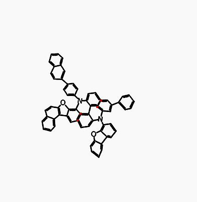 c1ccc(-c2cccc(N(c3ccccc3-c3ccccc3N(c3ccc(-c4ccc5ccccc5c4)cc3)c3cccc4c3oc3ccc5ccccc5c34)c3cccc4c3oc3ccccc34)c2)cc1